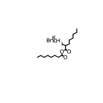 CCCCCCCC(=O)OC(=O)[C](I)CCCCCC.[KH].[K][Br]